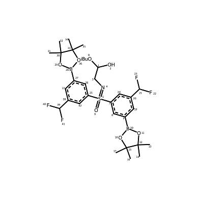 CC(C)COC(O)CN=S(=O)(c1cc(B2OC(C)(C)C(C)(C)O2)cc(C(F)F)c1)c1cc(B2OC(C)(C)C(C)(C)O2)cc(C(F)F)c1